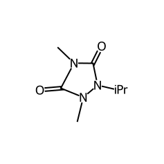 CC(C)n1c(=O)n(C)c(=O)n1C